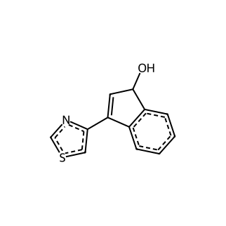 OC1C=C(c2cscn2)c2ccccc21